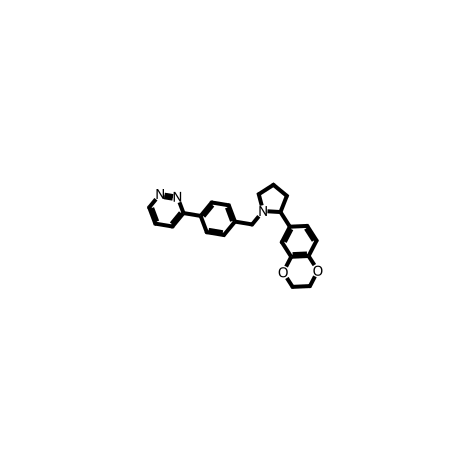 c1cnnc(-c2ccc(CN3CCCC3c3ccc4c(c3)OCCO4)cc2)c1